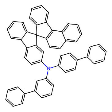 c1ccc(-c2ccc(N(c3cccc(-c4ccccc4)c3)c3ccc4c(c3)C3(c5ccccc5-4)c4ccccc4-c4c3ccc3ccccc43)cc2)cc1